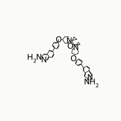 Nc1cc2cc(-c3ccc(OC4CCN(C5(C(=O)C6(N7CCC(Oc8ccc(-c9ccc%10cnc(N)cc%10c9)cc8)CC7)CC6)CC5)CC4)cc3)ccc2cn1